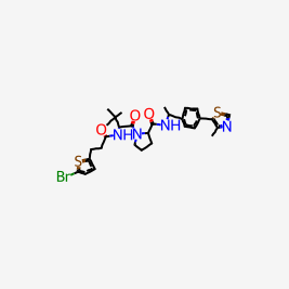 Cc1ncsc1-c1ccc(C(C)NC(=O)C2CCCN2C(=O)C(NC(=O)CCc2ccc(Br)s2)C(C)(C)C)cc1